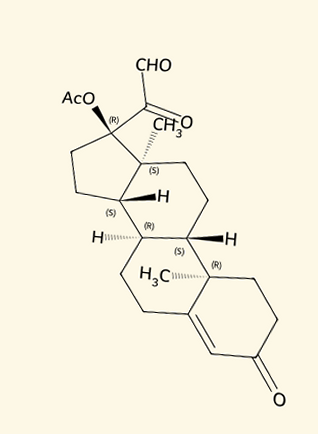 CC(=O)O[C@]1(C(=O)C=O)CC[C@H]2[C@@H]3CCC4=CC(=O)CC[C@]4(C)[C@H]3CC[C@@]21C